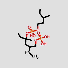 BBC(COP(=O)(O)O)CC(C)(CC)OP(=O)(O)OCCC(C)CC